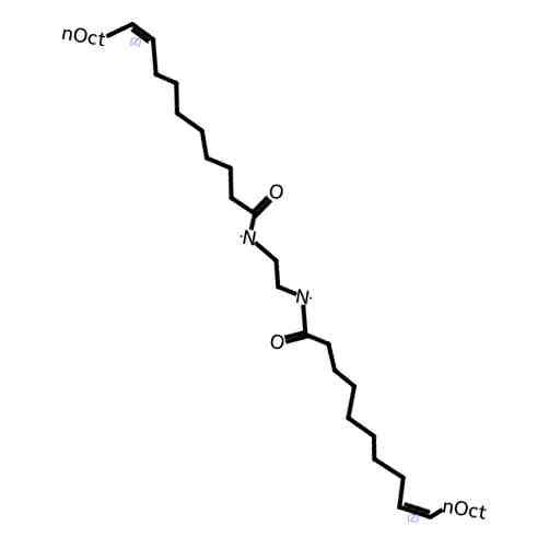 CCCCCCCC/C=C\CCCCCCCC(=O)[N]CC[N]C(=O)CCCCCCC/C=C\CCCCCCCC